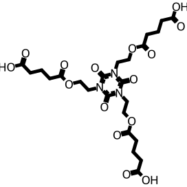 O=C(O)CCCC(=O)OCCn1c(=O)n(CCOC(=O)CCCC(=O)O)c(=O)n(CCOC(=O)CCCC(=O)O)c1=O